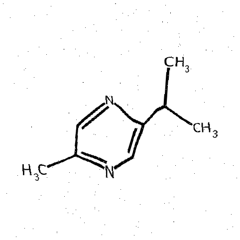 Cc1cnc(C(C)C)cn1